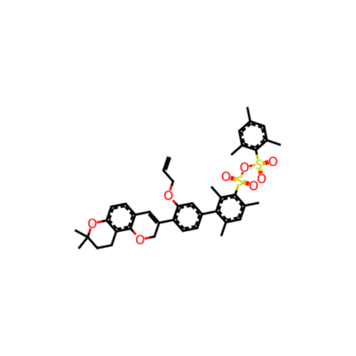 C=CCOc1cc(-c2c(C)cc(C)c(S(=O)(=O)OS(=O)(=O)c3c(C)cc(C)cc3C)c2C)ccc1C1=Cc2ccc3c(c2OC1)CCC(C)(C)O3